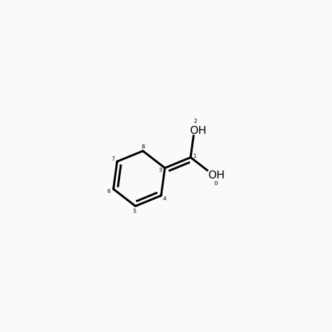 OC(O)=C1C=CC=CC1